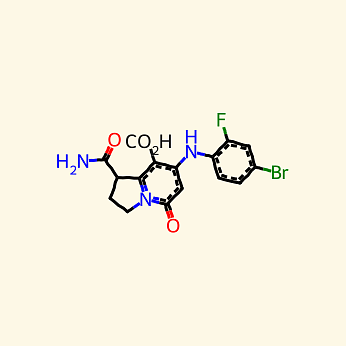 NC(=O)C1CCn2c1c(C(=O)O)c(Nc1ccc(Br)cc1F)cc2=O